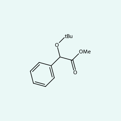 COC(=O)C(OC(C)(C)C)c1ccccc1